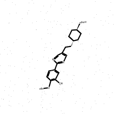 CCCCC[C@H]1CC[C@H](CCc2cnc(-c3ccc(OCCCC)c(C#N)c3)nc2)CC1